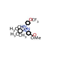 COC(=O)c1ccc2c(c1)nc(Nc1ccc(OC(F)(F)F)cc1)n2C1CC(C)(C)CC(C)(C)C1